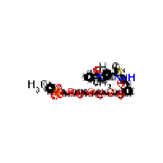 Cc1ccc(S(=O)(=O)OCCOCCOCCOCCOCCOCCOc2cccc(CC(=O)Nc3nc(-c4ccc5c(c4)CCN5C(=O)c4ccccc4C)c(C)s3)c2)cc1